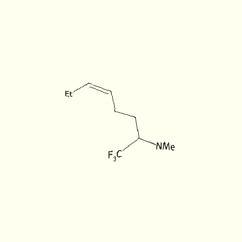 CC/C=C\CCC(NC)C(F)(F)F